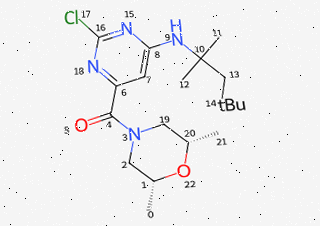 C[C@@H]1CN(C(=O)c2cc(NC(C)(C)CC(C)(C)C)nc(Cl)n2)C[C@H](C)O1